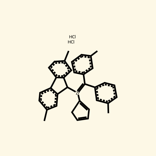 Cc1cccc([C](c2cccc(C)c2)=[Zr]([C]2=CC=CC2)[CH]2c3cc(C)ccc3-c3ccc(C)cc32)c1.Cl.Cl